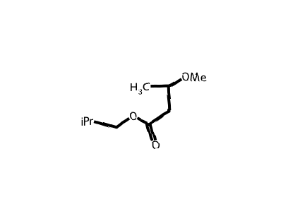 COC(C)CC(=O)OCC(C)C